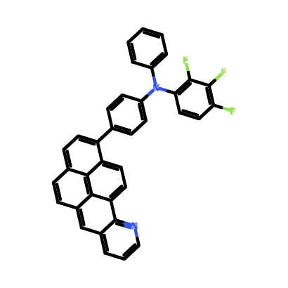 Fc1ccc(N(c2ccccc2)c2ccc(-c3ccc4ccc5cc6cccnc6c6ccc3c4c56)cc2)c(F)c1F